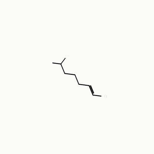 CC=CCCCC(C)[O]